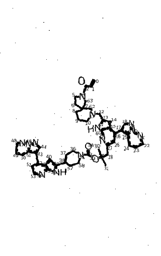 C=CC(=O)N1CCC2(CCCN(Cc3cc4c(-c5cnn6ncccc56)cc(CC(C)(C)OC(=O)N5CCC(c6cc7c(-c8cnn9ncccc89)ccnc7[nH]6)CC5)nc4[nH]3)C2)C1